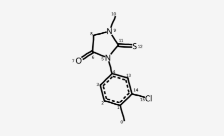 Cc1ccc(N2C(=O)CN(C)C2=S)cc1Cl